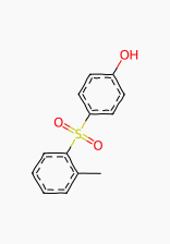 Cc1ccccc1S(=O)(=O)c1ccc(O)cc1